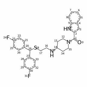 O=C(c1cc2ccccc2[nH]1)N1CCC(NCCSC(c2ccc(F)cc2)c2ccc(F)cc2)CC1